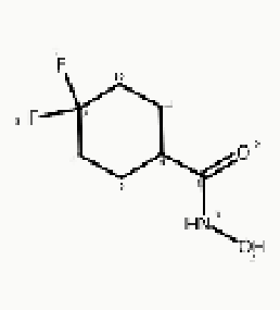 O=C(NO)C1CCC(F)(F)CC1